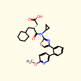 COc1ccc(-c2ccccc2-c2csc(N(C(=O)[C@@H](CC(=O)O)CC3CCCCC3)C3CC3)n2)cn1